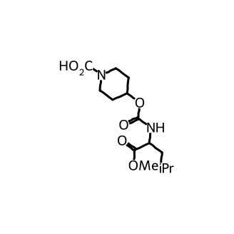 COC(=O)C(CC(C)C)NC(=O)OC1CCN(C(=O)O)CC1